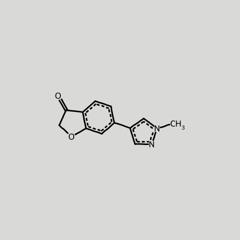 Cn1cc(-c2ccc3c(c2)OCC3=O)cn1